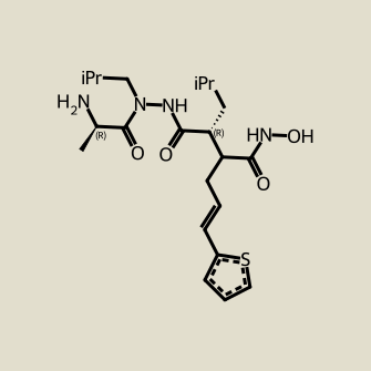 CC(C)C[C@@H](C(=O)NN(CC(C)C)C(=O)[C@@H](C)N)C(CC=Cc1cccs1)C(=O)NO